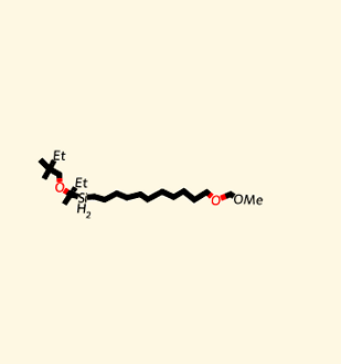 CCC(C)(C)COC(C)(CC)[SiH2]CCCCCCCCCCCOCOC